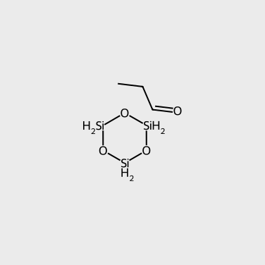 CCC=O.O1[SiH2]O[SiH2]O[SiH2]1